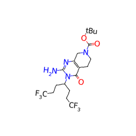 CC(C)(C)OC(=O)N1CCc2c(nc(N)n(C(CCC(F)(F)F)CCC(F)(F)F)c2=O)C1